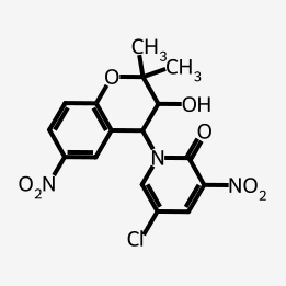 CC1(C)Oc2ccc([N+](=O)[O-])cc2C(n2cc(Cl)cc([N+](=O)[O-])c2=O)C1O